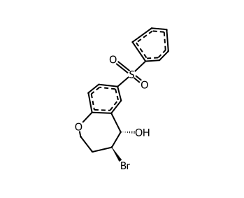 O=S(=O)(c1ccccc1)c1ccc2c(c1)[C@H](O)[C@@H](Br)CCO2